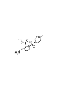 CCOC(=O)c1c(CN)ccn1S(=O)(=O)c1ccc(C)cc1